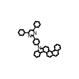 c1ccc(-c2cc(-c3ccccc3)nc(-c3ccc(-n4c5ccccc5c5c6ccc7ccc8ccccc8c7c6ccc54)cc3)n2)cc1